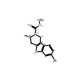 C[C@@H]1Cc2oc3cc(Br)ccc3c2CN1C(=O)OC(C)(C)C